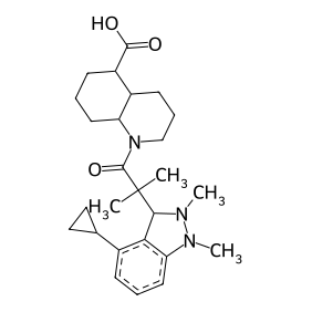 CN1c2cccc(C3CC3)c2C(C(C)(C)C(=O)N2CCCC3C(C(=O)O)CCCC32)N1C